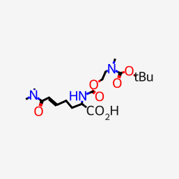 CN(C)C(=O)/C=C/CCC(NC(=O)OCCN(C)C(=O)OC(C)(C)C)C(=O)O